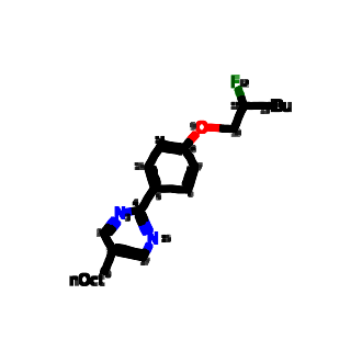 CCCCCCCCc1cnc(-c2ccc(OCC(F)C(C)CC)cc2)nc1